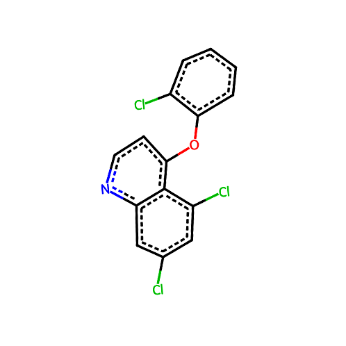 Clc1cc(Cl)c2c(Oc3ccccc3Cl)ccnc2c1